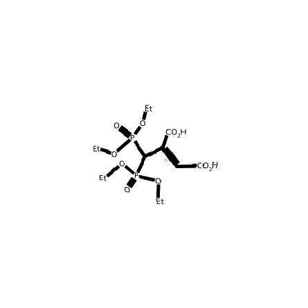 CCOP(=O)(OCC)C(/C(=C/C(=O)O)C(=O)O)P(=O)(OCC)OCC